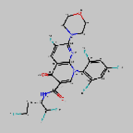 O=C(N[C@@H](CCF)C(F)F)c1cn(-c2c(F)cc(F)cc2F)c2nc(N3CCOCC3)c(F)cc2c1=O